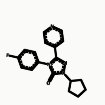 O=c1n(C2CCCC2)nc(-c2ccncc2)n1-c1ccc(F)cc1